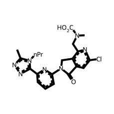 CCCn1c(C)nnc1-c1cccc(N2Cc3c(cc(Cl)nc3CN(C)C(=O)O)C2=O)n1